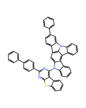 c1ccc(-c2ccc(-c3nc(-n4c5ccccc5c5c6c7ccccc7n7c8cc(-c9ccccc9)ccc8c(cc54)c67)c4c(n3)sc3ccccc34)cc2)cc1